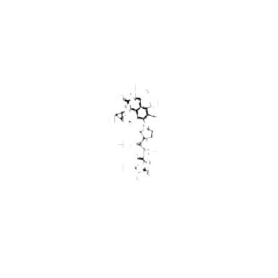 COc1c(N2CC[C@@H]([C@H](C)NC(=O)OC(C)(C)C)C2)c(F)c(C)c2c(=O)[nH]c(=O)n(C3CC3)c12